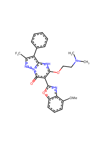 COc1cccc2oc(-c3c(OCCN(C)C)[nH]c4c(-c5ccccc5)c(C(F)(F)F)nn4c3=O)nc12